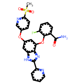 CS(=O)(=O)c1ccc(Oc2cc(Oc3c(F)cccc3C(N)=O)c3nc(-c4ccccn4)[nH]c3c2)cn1